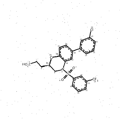 O=C(O)CC[C@@H]1CN(S(=O)(=O)c2cccc(C(F)(F)F)c2)c2cc(-c3cccc(Cl)c3)ccc2O1